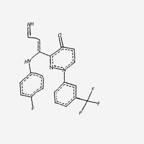 N=C/C=C(\Nc1ccc(F)cc1)c1nn(-c2cccc(C(F)(F)F)c2)ccc1=O